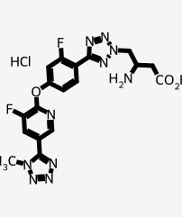 Cl.Cn1nnnc1-c1cnc(Oc2ccc(-c3nnn(CC(N)CC(=O)O)n3)c(F)c2)c(F)c1